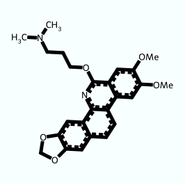 COc1cc2c(OCCCN(C)C)nc3c4cc5c(cc4ccc3c2cc1OC)OCO5